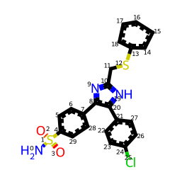 NS(=O)(=O)c1ccc(-c2nc(CSc3ccccc3)[nH]c2-c2ccc(Cl)cc2)cc1